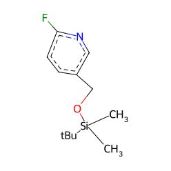 CC(C)(C)[Si](C)(C)OCc1ccc(F)nc1